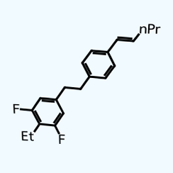 CCCC=Cc1ccc(CCc2cc(F)c(CC)c(F)c2)cc1